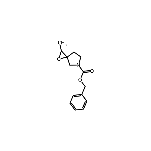 CC1OC12CCN(C(=O)OCc1ccccc1)C2